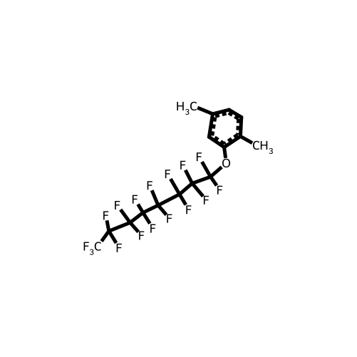 Cc1ccc(C)c(OC(F)(F)C(F)(F)C(F)(F)C(F)(F)C(F)(F)C(F)(F)C(F)(F)C(F)(F)F)c1